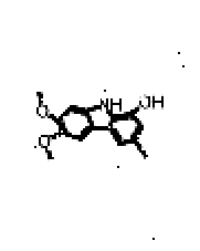 COc1cc2[nH]c3c(O)cc(C)cc3c2cc1OC